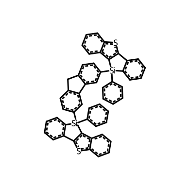 c1ccc([Si]2(c3ccc4c(c3)-c3cc([Si]5(c6ccccc6)c6ccccc6-c6sc7ccccc7c65)ccc3C4)c3ccccc3-c3sc4ccccc4c32)cc1